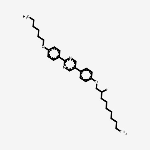 CCCCCCCCC(F)COc1ccc(-c2cnc(-c3ccc(OCCCCCC)cc3)nc2)cc1